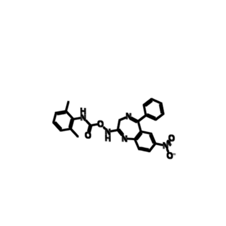 Cc1cccc(C)c1NC(=O)ONC1=Nc2ccc([N+](=O)[O-])cc2C(c2ccccc2)=NC1